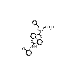 O=C(O)CCN(CCc1cccs1)C(=O)c1ccccc1-c1ccccc1C(=O)NCc1ccccc1Cl